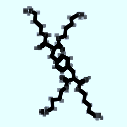 CCCCCOC(=O)C(Cc1[c]cc(CC(C(=O)OCCCCC)C(=O)OCCCCC)cc1)C(=O)OCCCCC